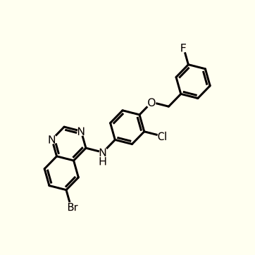 Fc1cccc(COc2ccc(Nc3ncnc4ccc(Br)cc34)cc2Cl)c1